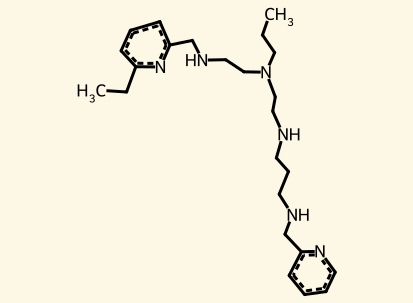 CCCN(CCNCCCNCc1ccccn1)CCNCc1cccc(CC)n1